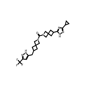 O=C(N1CC2(CC(Cc3cc(C(F)(F)F)n[nH]3)C2)C1)N1CC2(CC(c3nc(C4CC4)n[nH]3)C2)C1